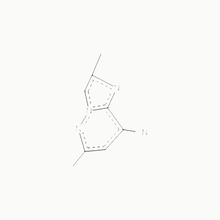 Cc1cn2nc(C)cc(C#N)c2n1